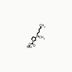 C=CCCCN(C)[C@@H]1CCN(C(=O)OC(C)(C)C)C1